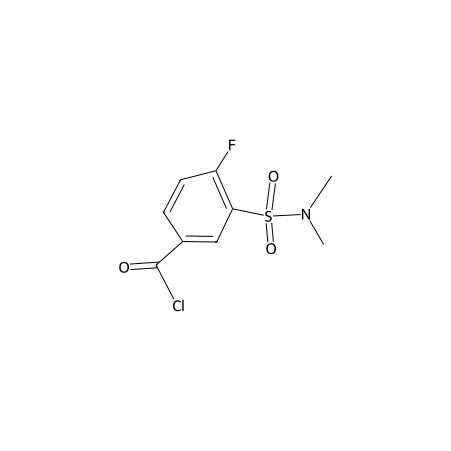 CN(C)S(=O)(=O)c1cc(C(=O)Cl)ccc1F